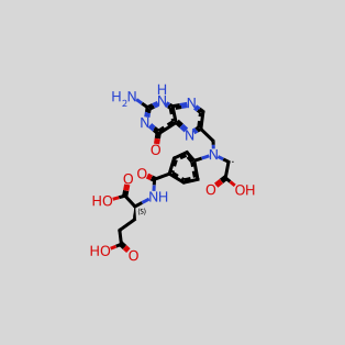 Nc1nc(=O)c2nc(CN([CH]C(=O)O)c3ccc(C(=O)N[C@@H](CCC(=O)O)C(=O)O)cc3)cnc2[nH]1